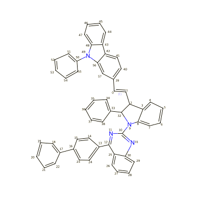 C(=C\C1c2ccccc2N(c2nc(-c3ccc(-c4ccccc4)cc3)c3ccccc3n2)C1c1ccccc1)/c1ccc2c3ccccc3n(-c3ccccc3)c2c1